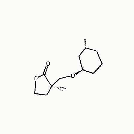 CC(C)[C@]1(CO[C@@H]2CCC[C@@H](C)C2)CCOC1=O